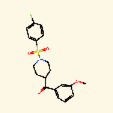 COc1cccc(C(=O)C2CCN(S(=O)(=O)c3ccc(F)cc3)CC2)c1